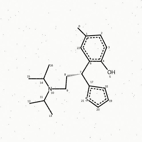 Cc1ccc(O)c([C@@H](CCN(C(C)C)C(C)C)c2cccs2)c1